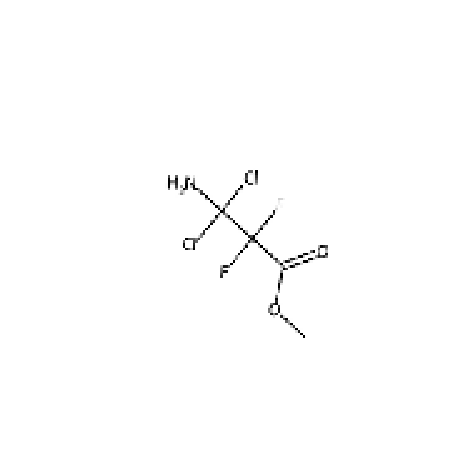 COC(=O)C(F)(F)C(N)(Cl)Cl